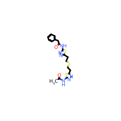 CC(=O)Nc1nnc(CCSCCc2nnc(NC(=O)Cc3ccccc3)s2)s1